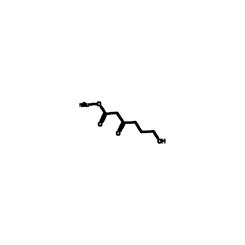 CCCCOC(=O)CC(=O)CCCO